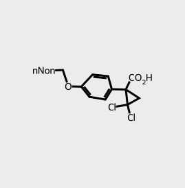 CCCCCCCCCCOc1ccc(C2(C(=O)O)CC2(Cl)Cl)cc1